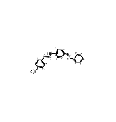 O=[N+]([O-])c1ccc(N=NNc2ccc(N=Nc3ccccc3)cc2)cc1